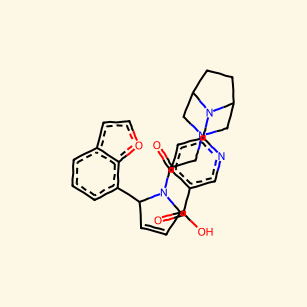 O=C(O)c1ccc(N2C3CCC2CN(CC(=O)N2CC=CC2c2cccc4ccoc24)C3)nc1